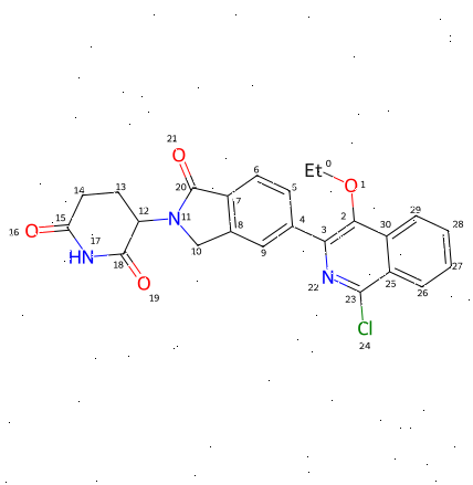 CCOc1c(-c2ccc3c(c2)CN(C2CCC(=O)NC2=O)C3=O)nc(Cl)c2ccccc12